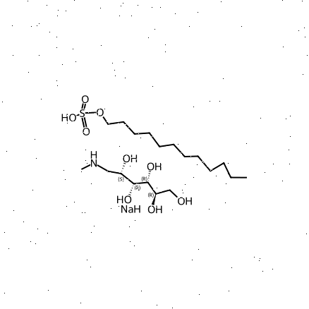 CCCCCCCCCCCCOS(=O)(=O)O.CNC[C@H](O)[C@@H](O)[C@H](O)[C@H](O)CO.[NaH]